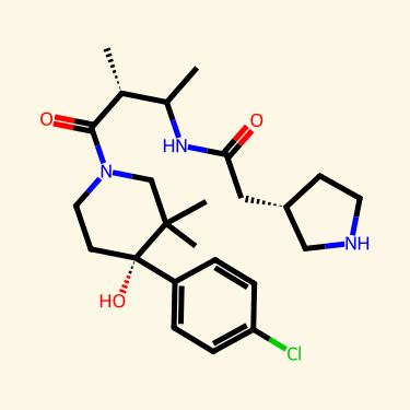 CC(NC(=O)C[C@@H]1CCNC1)[C@@H](C)C(=O)N1CC[C@](O)(c2ccc(Cl)cc2)C(C)(C)C1